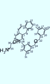 C1=Cc2ccccc2Cc2ccccc21.Cc1cc(C)cc(COCc2cc(C)cc(C)c2)c1.NCCO